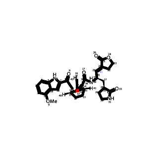 COc1cccc2[nH]c(C(=O)N3[C@H]4CC[C@@H]([C@@H]3C(=O)N[C@@H](/C=C3\CCOC3=O)C[C@@H]3CCNC3=O)C(F)(F)C4)cc12